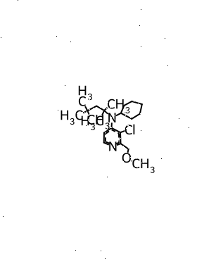 COCc1nccc(N(C2CCCCC2)C(C)(C)CC(C)(C)C)c1Cl